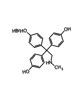 Br.CNCC(c1ccc(O)cc1)(c1ccc(O)cc1)c1ccc(O)cc1